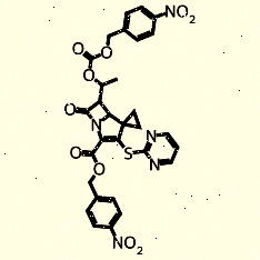 CC(OC(=O)OCc1ccc([N+](=O)[O-])cc1)C1C(=O)N2C(C(=O)OCc3ccc([N+](=O)[O-])cc3)=C(Sc3ncccn3)C3(CC3)C12